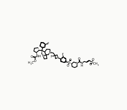 COC(=O)N[C@H]1CCC[C@@H]1[C@](CN1CCC1)(c1cccc(F)c1)C1CCN(CC2(F)CN(c3ccc(S(=O)(=O)[C@H]4CCCN(C(=O)NC/C=C/S(C)(=O)=O)C4)cc3F)C2)CC1